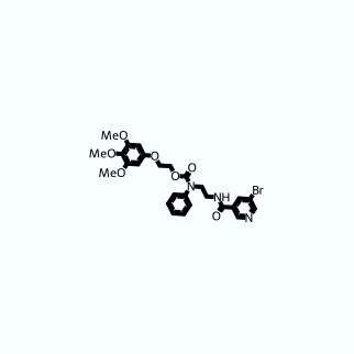 COc1cc(OCCOC(=O)N(CCNC(=O)c2cncc(Br)c2)c2ccccc2)cc(OC)c1OC